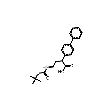 CC(C)(C)OC(=O)NCCC(C(=O)O)c1ccc(-c2ccccc2)cc1